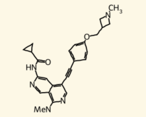 CNc1ncc(C#Cc2ccc(OCC3CN(C)C3)cc2)c2cc(NC(=O)C3CC3)ncc12